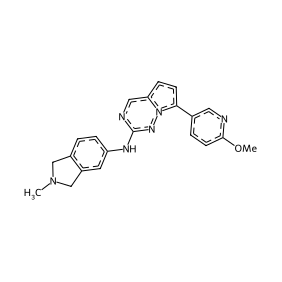 COc1ccc(-c2ccc3cnc(Nc4ccc5c(c4)CN(C)C5)nn23)cn1